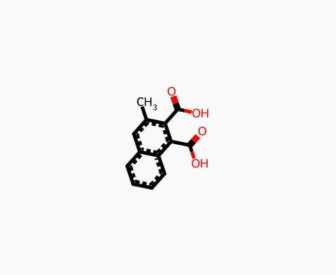 Cc1cc2ccccc2c(C(=O)O)c1C(=O)O